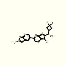 Cn1cc2cc(-c3ccc4c(Cl)c([C@@H](O)C5CC(F)(F)C5)sc4n3)cnc2n1